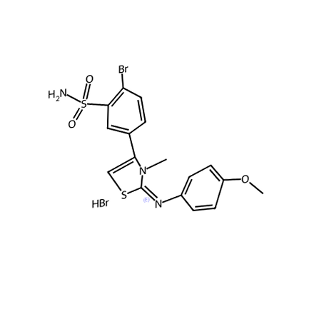 Br.COc1ccc(/N=c2/scc(-c3ccc(Br)c(S(N)(=O)=O)c3)n2C)cc1